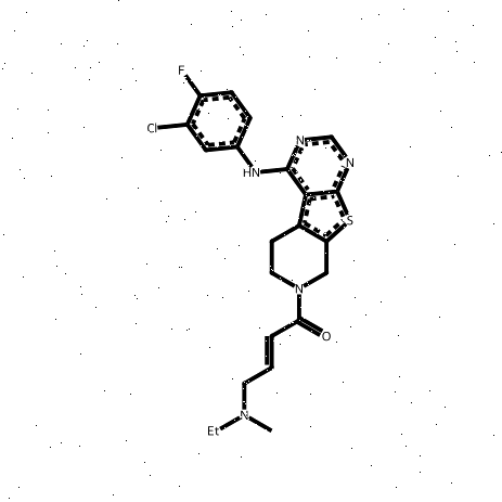 CCN(C)C/C=C/C(=O)N1CCc2c(sc3ncnc(Nc4ccc(F)c(Cl)c4)c23)C1